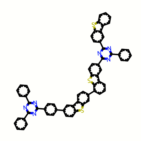 c1ccc(-c2nc(-c3ccccc3)nc(-c3ccc(-c4ccc5sc6cc(-c7cccc8c7sc7ccc(-c9nc(-c%10ccccc%10)nc(-c%10ccc%11sc%12ccccc%12c%11c%10)n9)cc78)ccc6c5c4)cc3)n2)cc1